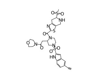 C#Cc1ccc2[nH]c(S(=O)(=O)N3CCN(C(=O)c4nc5c(s4)CNC(S(C)(=O)=O)C5)C(CC(=O)N4CCOCC4)C3)cc2c1